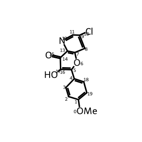 COc1ccc(-c2oc3cc(Cl)cnc3c(=O)c2O)cc1